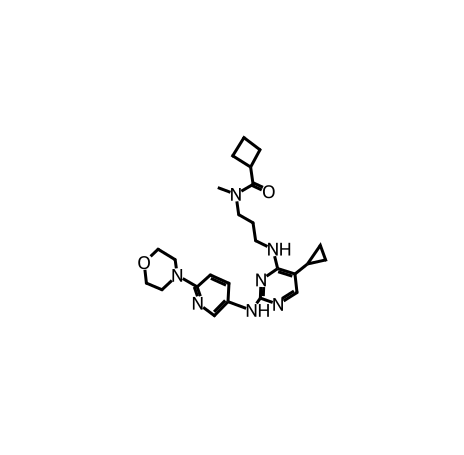 CN(CCCNc1nc(Nc2ccc(N3CCOCC3)nc2)ncc1C1CC1)C(=O)C1CCC1